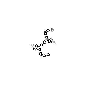 Cc1ccc(N(c2ccc(-c3ccc(N(c4ccc(-c5ccc6sc7ccc(-c8ccccc8)cc7c6c5)cc4)c4ccc(C)cc4C)cc3)cc2)c2ccc(-c3ccc4oc5ccc(-c6ccccc6)cc5c4c3)cc2)c(C)c1